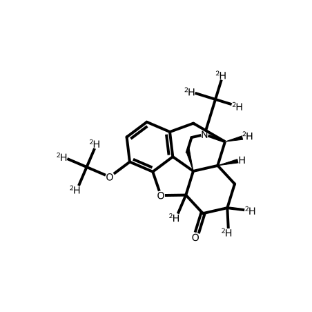 [2H]C([2H])([2H])Oc1ccc2c3c1OC1([2H])C(=O)C([2H])([2H])C[C@H]4[C@@]([2H])(C2)N(C([2H])([2H])[2H])CC[C@@]341